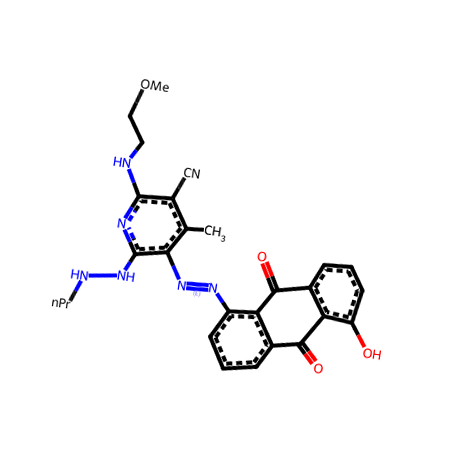 CCCNNc1nc(NCCOC)c(C#N)c(C)c1/N=N/c1cccc2c1C(=O)c1cccc(O)c1C2=O